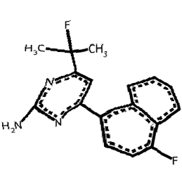 CC(C)(F)c1cc(-c2ccc(F)c3ccccc23)nc(N)n1